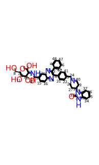 O=C(NC1C(O)O[C@H](CO)[C@@H](O)[C@@H]1O)c1ccc2nc(-c3ccc(CN4CCC(n5c(=O)[nH]c6ccccc65)CC4)cc3)c(-c3ccccc3)nc2c1